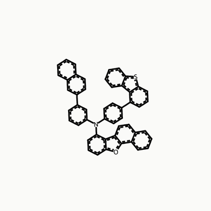 c1cc(-c2ccc3ccccc3c2)cc(N(c2ccc(-c3cccc4sc5ccccc5c34)cc2)c2cccc3oc4c5ccccc5ccc4c23)c1